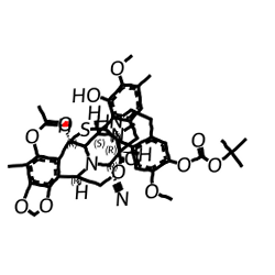 COc1cc2c(cc1OC(=O)OC(C)(C)C)CCN[C@]21CS[C@@H]2c3c(OC(C)=O)c(C)c4c(c3[C@H](COC1=O)N1C2[C@@H]2c3c(cc(C)c(OC)c3O)C[C@H]([C@@H]1C#N)N2C)OCO4